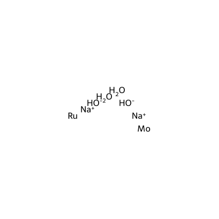 O.O.[Mo].[Na+].[Na+].[OH-].[OH-].[Ru]